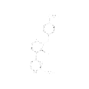 COc1ccc(Cn2nccc(-c3ccnc(SC)n3)c2=O)cc1